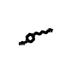 CCCN1CCN(CCCCC(C)C)CC1